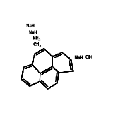 C.Cl.N.[NaH].[NaH].[NaH].c1cc2ccc3cccc4ccc(c1)c2c34